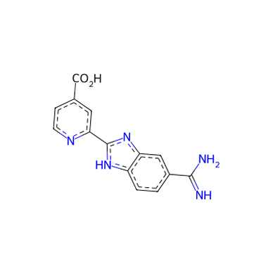 N=C(N)c1ccc2[nH]c(-c3cc(C(=O)O)ccn3)nc2c1